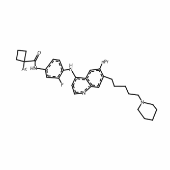 CCCc1cc2c(Nc3ccc(NC(=O)C4(C(C)=O)CCC4)cc3F)ccnc2cc1CCCCCN1CCCCC1